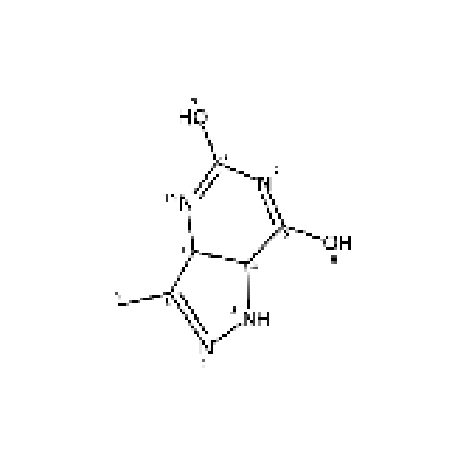 CC1=NNC2C(O)=NC(O)=NC12